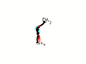 CCCCCCCCOc1ccc(-c2ccc(-c3ccc(C4CCC(CCC)OC4)cc3F)cc2)c(F)c1F